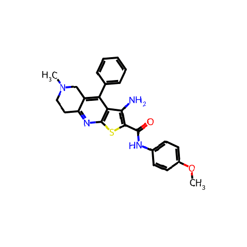 COc1ccc(NC(=O)c2sc3nc4c(c(-c5ccccc5)c3c2N)CN(C)CC4)cc1